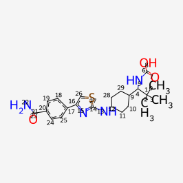 CC(C)(C)C(NC(=O)O)C1CCC(Nc2nc(-c3ccc(C(N)=O)cc3)cs2)CC1